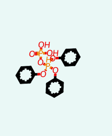 O=P(O)(O)O[PH](Oc1ccccc1)(Oc1ccccc1)Oc1ccccc1